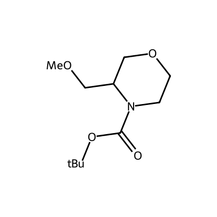 COCC1COCCN1C(=O)OC(C)(C)C